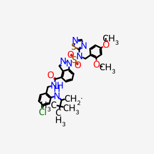 [CH2]C(Nc1cc(Cl)ccc1CNC(=O)c1cccc2c1cnn2S(=O)(=O)N(Cc1ccc(OC)cc1OC)c1ncns1)C(C)(C)C